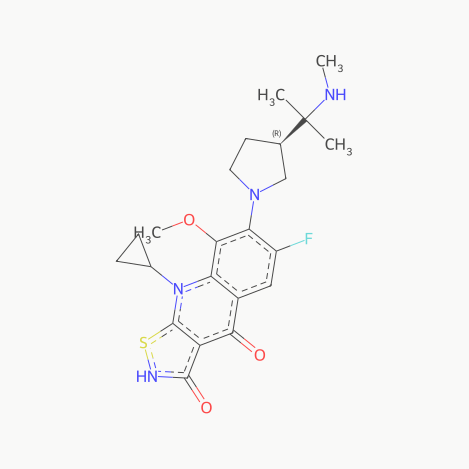 CNC(C)(C)[C@@H]1CCN(c2c(F)cc3c(=O)c4c(=O)[nH]sc4n(C4CC4)c3c2OC)C1